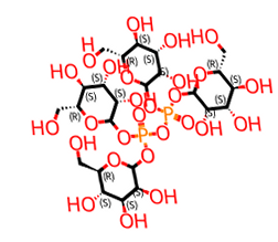 O=P(OC1O[C@H](CO)[C@@H](O)[C@H](O)[C@@H]1O)(OC1O[C@H](CO)[C@@H](O)[C@H](O)[C@@H]1O)OP(=O)(OC1O[C@H](CO)[C@@H](O)[C@H](O)[C@@H]1O)OC1O[C@H](CO)[C@@H](O)[C@H](O)[C@@H]1O